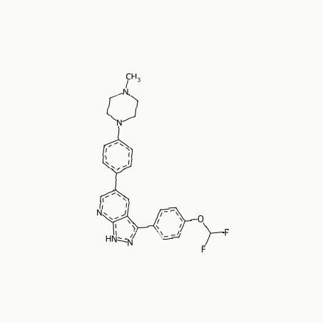 CN1CCN(c2ccc(-c3cnc4[nH]nc(-c5ccc(OC(F)F)cc5)c4c3)cc2)CC1